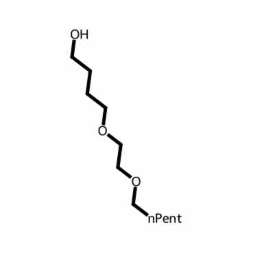 CCCCCCOCCOCCCCO